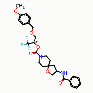 COc1ccc(COC[C@@H](OC(=O)N2CCC3(CC2)CC(NC(=O)c2ccccc2)CO3)C(F)(F)F)cc1